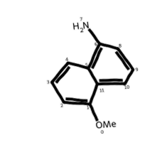 COc1cccc2c(N)cccc12